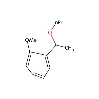 CCCOC(C)c1ccccc1OC